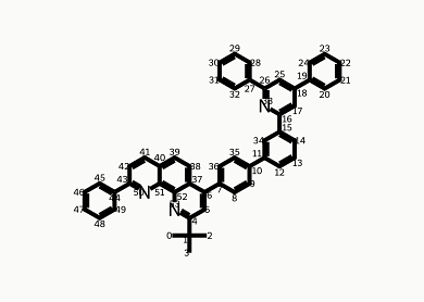 CC(C)(C)c1cc(-c2ccc(-c3cccc(-c4cc(-c5ccccc5)cc(-c5ccccc5)n4)c3)cc2)c2ccc3ccc(-c4ccccc4)nc3c2n1